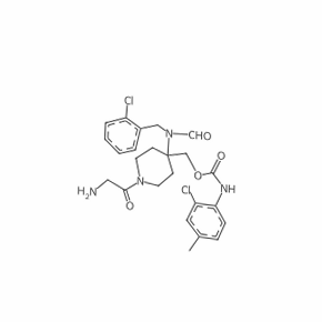 Cc1ccc(NC(=O)OCC2(N(C=O)Cc3ccccc3Cl)CCN(C(=O)CN)CC2)c(Cl)c1